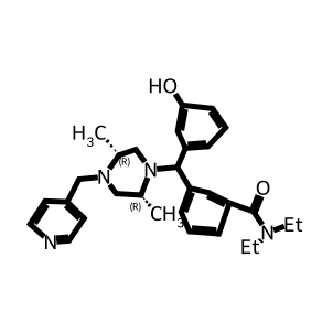 CCN(CC)C(=O)c1cccc(C(c2cccc(O)c2)N2C[C@@H](C)N(Cc3ccncc3)C[C@H]2C)c1